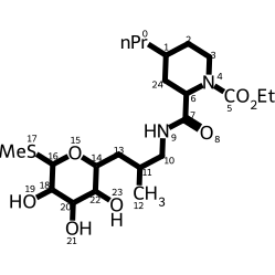 CCCC1CCN(C(=O)OCC)C(C(=O)NCC(C)CC2OC(SC)C(O)C(O)C2O)C1